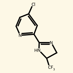 FC(F)(F)C1CN=C(c2cc(Cl)ccn2)N1